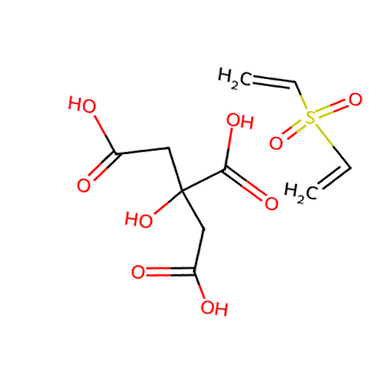 C=CS(=O)(=O)C=C.O=C(O)CC(O)(CC(=O)O)C(=O)O